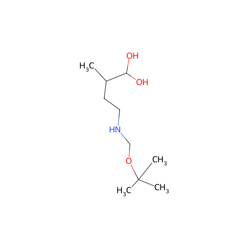 CC(CCNCOC(C)(C)C)C(O)O